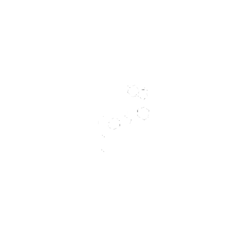 CC(C)N1CCN(Cc2ccc(NC(=O)c3cccc(-c4cnc5cnccn45)c3)cc2C(F)(F)F)CC1